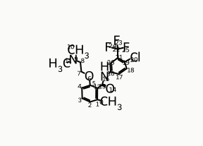 Cc1cccc(OCCN(C)C)c1C(=O)Nc1ccc(Cl)c(C(F)(F)F)c1